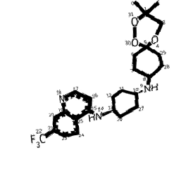 CC1(C)COC2(CCC(N[C@H]3CC[C@H](Nc4ccnc5cc(C(F)(F)F)ccc45)CC3)CC2)OO1